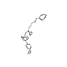 COc1ccc(-c2cnc(CC(=O)CCCCCc3ccccc3)o2)cc1